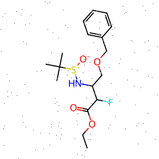 CCOC(=O)C(F)C(COCc1ccccc1)N[S+]([O-])C(C)(C)C